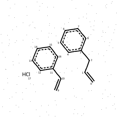 C=CCc1ccccc1.C=Cc1ccccc1.Cl